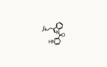 CN(C)CCc1cn(C(=O)C2=CNC=CC2)c2ccccc12